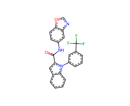 O=C(Nc1ccc2ocnc2c1)c1cc2ccccc2n1-c1cccc(C(F)(F)F)c1